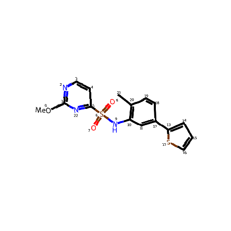 COc1nccc(S(=O)(=O)Nc2cc(-c3cccs3)ccc2C)n1